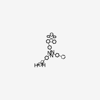 C1=CCC(c2ccc(-c3nc(-c4ccc(-c5cccc6c5-c5ccccc5C65c6ccccc6Oc6ccccc65)cc4)nc(-c4ccc(C56CC7C[C@@H](CC[C@@H]7C5)C6)cc4)n3)cc2)C=C1